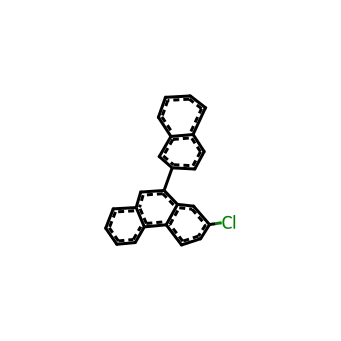 Clc1ccc2c(c1)c(-c1ccc3ccccc3c1)cc1ccccc12